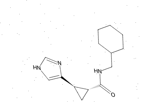 O=C(NCC1CCCCC1)[C@@H]1C[C@H]1c1c[nH]cn1